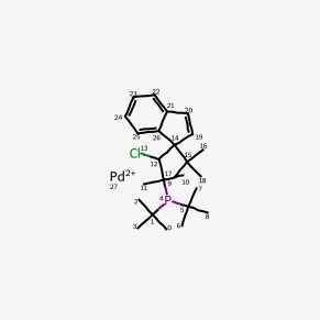 CC(C)(C)P(C(C)(C)C)C(C)(C)C(Cl)C1(C(C)(C)C)C=Cc2ccccc21.[Pd+2]